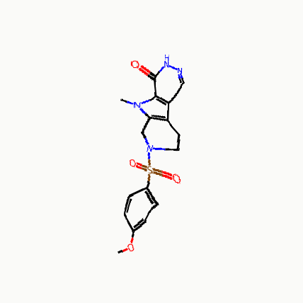 COc1ccc(S(=O)(=O)N2CCc3c(n(C)c4c(=O)[nH]ncc34)C2)cc1